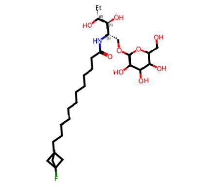 CC[C@@H](O)[C@@H](O)[C@H](COC1OC(CO)C(O)C(O)C1O)NC(=O)CCCCCCCCCCCC12CC(F)(C1)C2